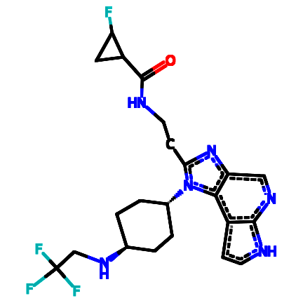 O=C(NCCc1nc2cnc3[nH]ccc3c2n1[C@H]1CC[C@H](NCC(F)(F)F)CC1)C1CC1F